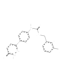 O=C(Nc1ccc(-c2ccc(=O)[nH]n2)cc1)SCc1cccc(C(F)(F)F)c1